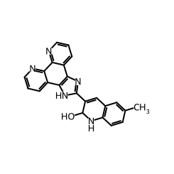 Cc1ccc2c(c1)C=C(c1nc3c4cccnc4c4ncccc4c3[nH]1)C(O)N2